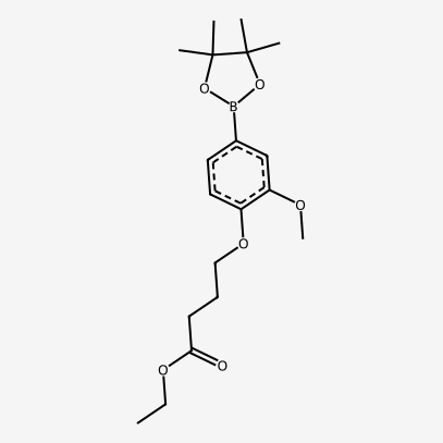 CCOC(=O)CCCOc1ccc(B2OC(C)(C)C(C)(C)O2)cc1OC